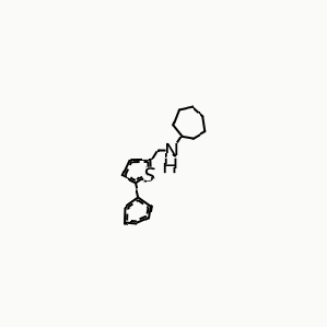 c1ccc(-c2ccc(CNC3CCCCCC3)s2)cc1